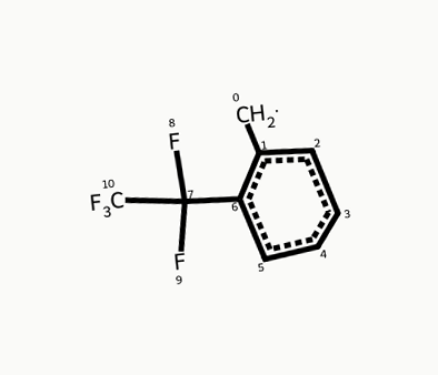 [CH2]c1ccccc1C(F)(F)C(F)(F)F